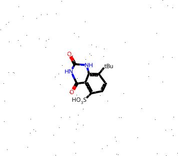 CC(C)(C)c1ccc(S(=O)(=O)O)c2c(=O)[nH]c(=O)[nH]c12